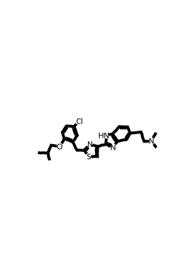 CC(C)COc1ccc(Cl)cc1Cc1nc(-c2nc3cc(CCN(C)C)ccc3[nH]2)cs1